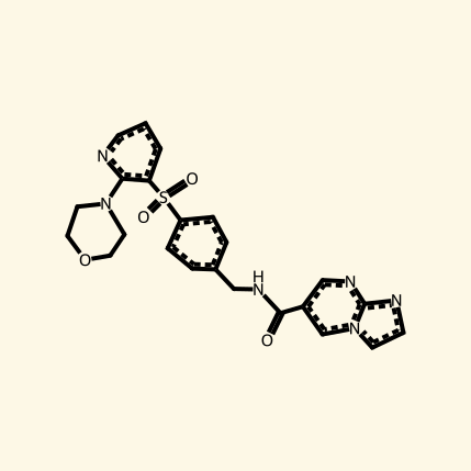 O=C(NCc1ccc(S(=O)(=O)c2cccnc2N2CCOCC2)cc1)c1cnc2nccn2c1